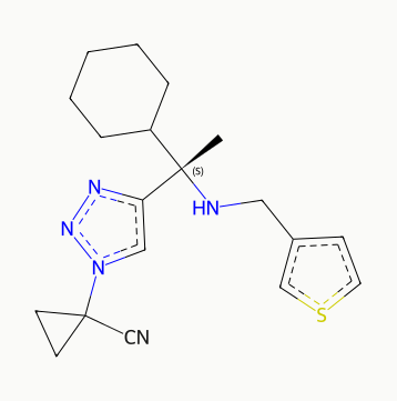 C[C@@](NCc1ccsc1)(c1cn(C2(C#N)CC2)nn1)C1CCCCC1